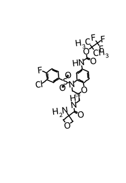 CC(C)(OC(=O)Nc1ccc2c(c1)N(S(=O)(=O)c1ccc(F)c(Cl)c1)C[C@H](CNC(=O)C1(N)COC1)O2)C(F)(F)F